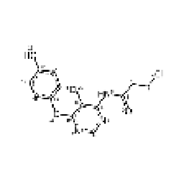 O=C(CCCl)Nc1ncnc(Oc2ccc(O)cc2)c1Cl